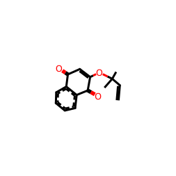 C=CC(C)(C)OC1=CC(=O)c2ccccc2C1=O